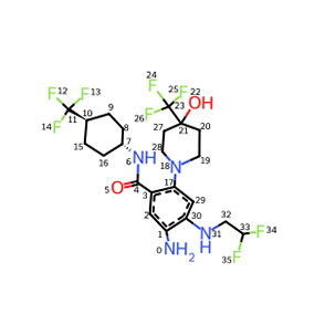 Nc1cc(C(=O)N[C@H]2CC[C@H](C(F)(F)F)CC2)c(N2CCC(O)(C(F)(F)F)CC2)cc1NCC(F)F